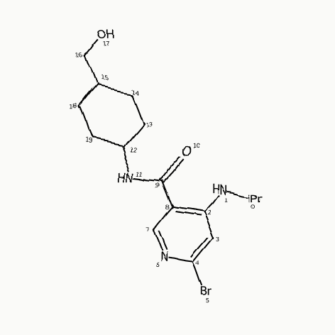 CC(C)Nc1cc(Br)ncc1C(=O)NC1CCC(CO)CC1